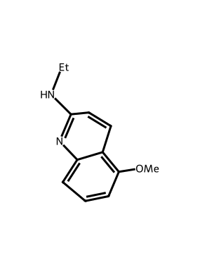 CCNc1ccc2c(OC)cccc2n1